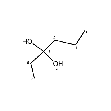 CCCC(O)(O)CC